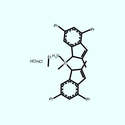 CC1=Cc2c(C(C)C)cc(C(C)C)cc2[CH]1[Zr]([CH3])([SiH3])[CH]1C(C)=Cc2c(C(C)C)cc(C(C)C)cc21.CCC.Cl.Cl